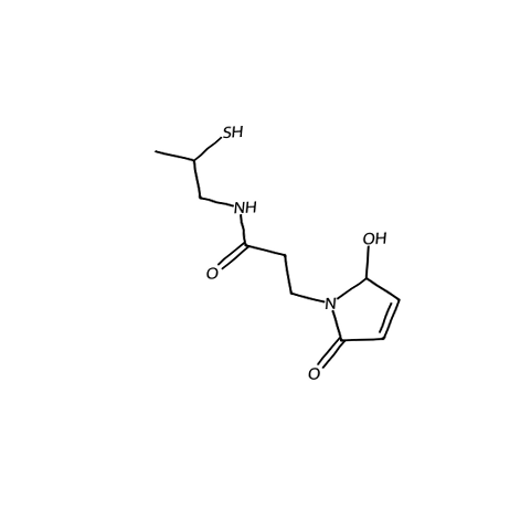 CC(S)CNC(=O)CCN1C(=O)C=CC1O